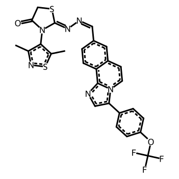 Cc1nsc(C)c1N1C(=O)CS/C1=N\N=C/c1ccc2c(ccn3c(-c4ccc(OC(F)(F)F)cc4)cnc23)c1